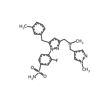 Cc1cccc(Cc2cc(CN(C)Cc3cnn(C)c3)nn2-c2ccc(S(N)(=O)=O)cc2F)c1